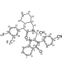 C[C@H](c1nc2ccccc2c(=O)n1-c1ccc(C#N)cc1)N(CC1CCSCC1)C(=O)Cc1ccc(F)c(C(F)(F)F)c1